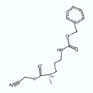 C[C@@H](CCCNC(=O)OCc1ccccc1)C(=O)OCC#N